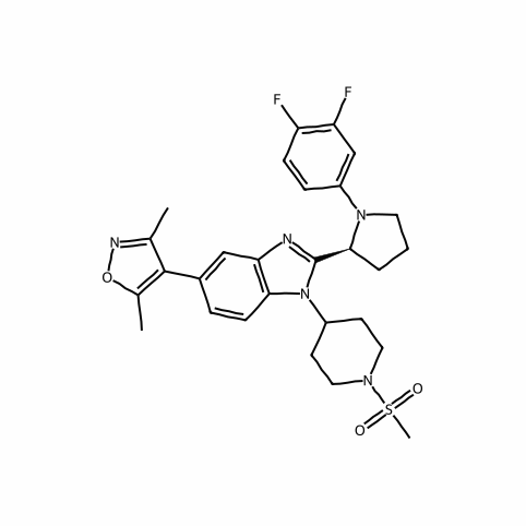 Cc1noc(C)c1-c1ccc2c(c1)nc([C@@H]1CCCN1c1ccc(F)c(F)c1)n2C1CCN(S(C)(=O)=O)CC1